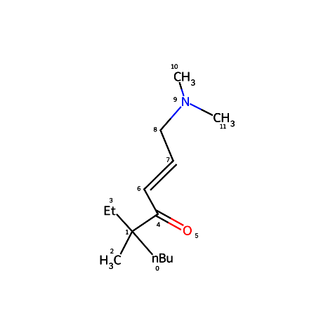 CCCCC(C)(CC)C(=O)/C=C/CN(C)C